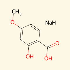 COc1ccc(C(=O)O)c(O)c1.[NaH]